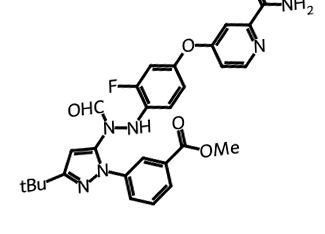 COC(=O)c1cccc(-n2nc(C(C)(C)C)cc2N(C=O)Nc2ccc(Oc3ccnc(C(N)=O)c3)cc2F)c1